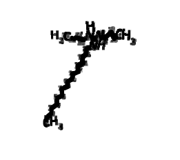 CCCCCCCCCCCCCCCCCCN/C(=N\CCCC)NCCCC